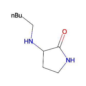 CCCCCNC1CCNC1=O